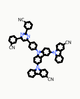 N#Cc1cccc(-c2cc(-c3ccc(-n4c5ccc(-n6c7ccccc7c7cc(C#N)ccc76)cc5c5cc(-n6c7ccccc7c7cc(C#N)ccc76)ccc54)cc3)nc(-c3cccc(C#N)c3)n2)c1